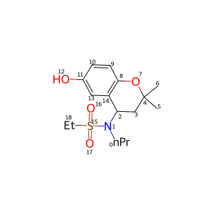 CCCN(C1CC(C)(C)Oc2ccc(O)cc21)S(=O)(=O)CC